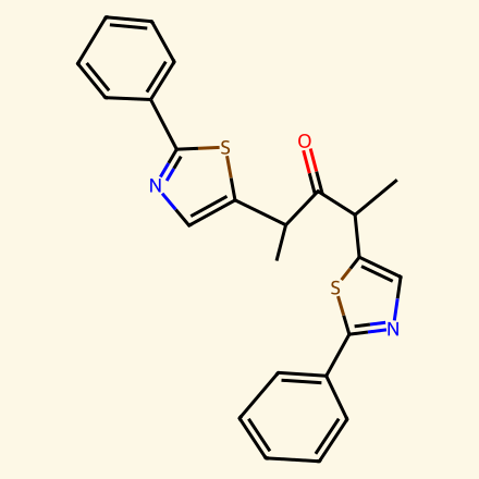 CC(C(=O)C(C)c1cnc(-c2ccccc2)s1)c1cnc(-c2ccccc2)s1